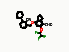 N#Cc1c(COc2cc(OC(F)C(F)F)c(C=O)c3c2CCC3)cccc1-c1ccccc1